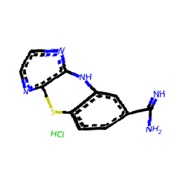 Cl.N=C(N)c1ccc2c(c1)Nc1nccnc1S2